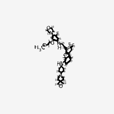 COCCOc1cc(N2CCOCC2)c(F)cc1NCC#Cc1sc2c(NC3CCC(N4CCC5(CC4)COC5)CC3)cccc2c1CC(F)(F)F